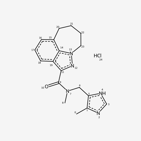 Cc1nc[nH]c1CN(C)C(=O)c1nn2c3c(cccc13)CCCC2.Cl